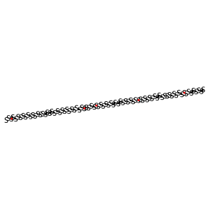 S=S=S=S=S=S=S=S=S=S=S=S=S=S=S=S=S=S=S=S=S=S=S=S=S=S=S=S=S=S=S=S=S=S=S=S=S=S=S=S=S=S=S=S=S=S=S=S=S=S=S=S=S=S=S=S=S=S=S=S=S=S=S=S=S=S=S=S=S=S=S=S=S=S=S=S=S=S=S=S=S=S